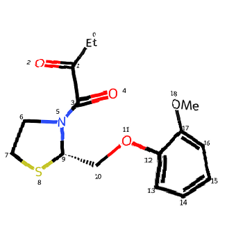 CCC(=O)C(=O)N1CCS[C@H]1COc1ccccc1OC